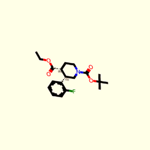 CCOC(=O)[C@@H]1CCN(C(=O)OC(C)(C)C)C[C@@H]1c1ccccc1F